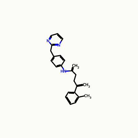 C=C(CCC(=C)c1ccccc1C)Nc1ccc(Cc2ncccn2)cc1